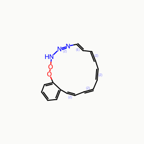 C1=C\C=C/C=C/N=N\NOOc2ccccc2/C=C\C=C/1